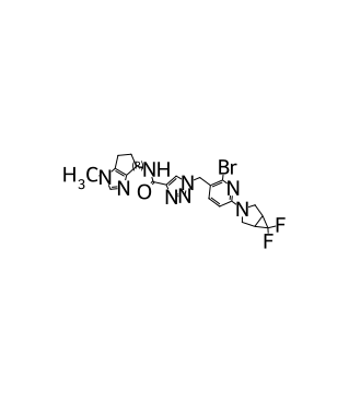 Cn1cnc2c1CC[C@H]2NC(=O)c1cn(Cc2ccc(N3CC4C(C3)C4(F)F)nc2Br)nn1